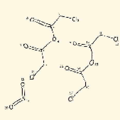 O=C(CCl)OC(=O)CCl.O=C(CCl)OC(=O)CCl.O=S=O